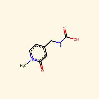 Cn1ccc(CNC(=O)O)cc1=O